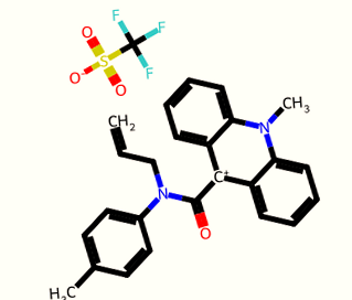 C=CCN(C(=O)[c+]1c2ccccc2n(C)c2ccccc21)c1ccc(C)cc1.O=S(=O)([O-])C(F)(F)F